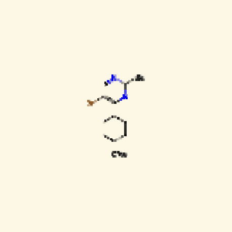 COC1CCC(c2nc(C(C)(C)C)ncc2Br)CC1